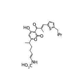 C/C(=C\c1ccc(CC(C)C)s1)C(=O)c1c(O)cc(C(C)CCC=CNC(=O)O)oc1=O